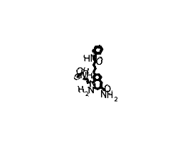 NC(=O)C1=Cc2ccc(CCCC(=O)Nc3ccccc3)cc2N(CCCNC(=O)O)C(N)C1